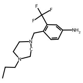 CCCN1CCN(Cc2ccc(N)cc2C(F)(F)F)CC1